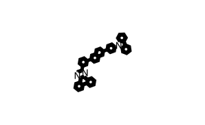 c1cc(-c2ccc3cc(-c4ccc(-n5c6ccccc6c6ccccc65)cc4)ccc3c2)cc(-c2cnc3c4ccccc4c4ccccc4c3n2)c1